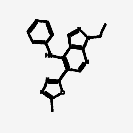 CCn1ncc2c(Nc3ccccc3)c(-c3nnc(C)o3)cnc21